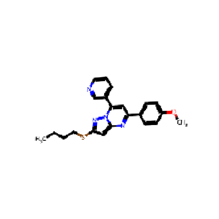 CCCCSc1cc2nc(-c3ccc(OC)cc3)cc(-c3cccnc3)n2n1